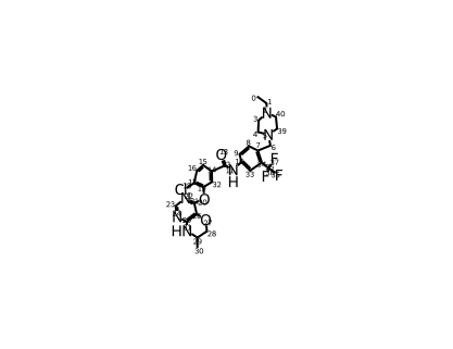 CCN1CCN(Cc2ccc(NC(=O)c3ccc(Cl)c(Oc4ncnc5c4OCC(C)N5)c3)cc2C(F)(F)F)CC1